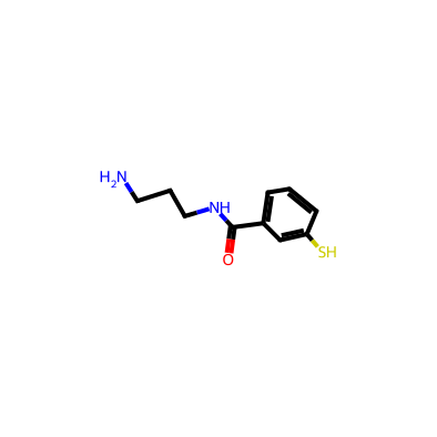 NCCCNC(=O)c1cccc(S)c1